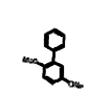 COc1ccc(OC)c(-c2cc[c]cc2)c1